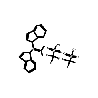 C[C](C)=[Zr]([CH]1C=Cc2ccccc21)[CH]1C=Cc2ccccc21.O=S(=O)(O)C(F)(F)F.O=S(=O)(O)C(F)(F)F